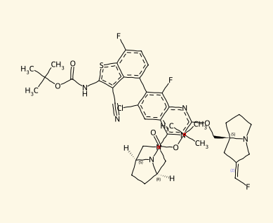 CC(C)(C)OC(=O)Nc1sc2c(F)ccc(-c3c(Cl)cc4c(N5C[C@H]6CC[C@@H](C5)N6C(=O)OC(C)(C)C)nc(OC[C@@]56CCCN5C/C(=C\F)C6)nc4c3F)c2c1C#N